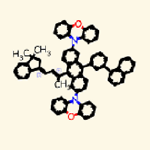 C/C(=C\C=C1/CC(C)(C)c2ccccc21)c1c2cc(N3c4ccccc4Oc4ccccc43)ccc2c(-c2cccc(-c3cccc4ccccc34)c2)c2cc(N3c4ccccc4Oc4ccccc43)ccc12